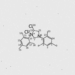 Cc1cc(C)c(N2[C][N+](Cl)(c3c(C)cc(C)cc3C)C(Cl)C2)c(C)c1